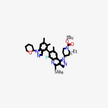 CC[C@@H]1C[C@@H](n2ncc3c(SC)nc4c(F)c(-c5c(C)c(C)cc6c5cnn6C5CCCCO5)c(C)cc4c32)CCN1C(=O)OC(C)(C)C